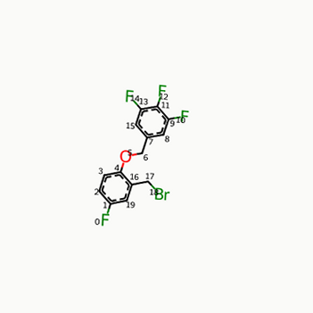 Fc1ccc(OCc2cc(F)c(F)c(F)c2)c(CBr)c1